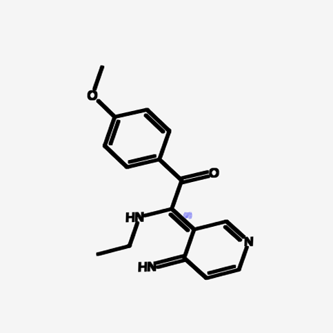 CCN/C(C(=O)c1ccc(OC)cc1)=C1/C=NC=CC1=N